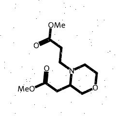 COC(=O)CCN1CCOCC1CC(=O)OC